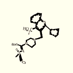 CSC(=NS(C)(=O)=O)N1CCN(Cc2c(-c3ccccc3)nc3ccccc3c2C(=O)O)CC1